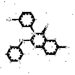 Cc1cccc(-n2c(Nc3cccnc3)nc3ccc(F)cc3c2=O)c1